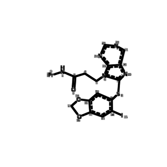 CC(C)NC(=O)CCn1c(Sc2cc3c(cc2I)OCO3)nc2cncnc21